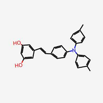 Cc1ccc(N(c2ccc(C)cc2)c2ccc(C=Cc3cc(O)cc(O)c3)cc2)cc1